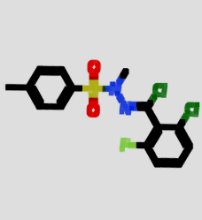 Cc1ccc(S(=O)(=O)N(C)N=C(Cl)c2c(F)cccc2Cl)cc1